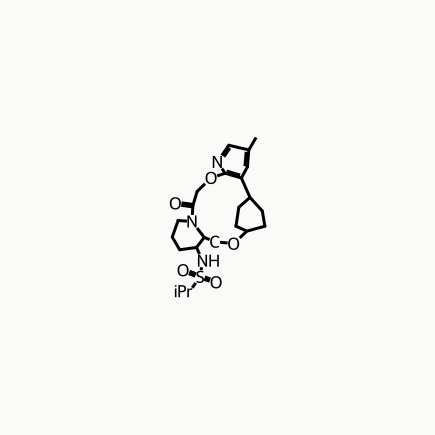 Cc1cnc2c(c1)C1CCC(CC1)OCC1C(NS(=O)(=O)C(C)C)CCCN1C(=O)CO2